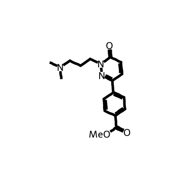 COC(=O)c1ccc(-c2ccc(=O)n(CCCN(C)C)n2)cc1